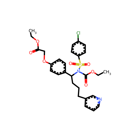 CCOC(=O)COc1ccc(C(CCCc2cccnc2)N(C(=O)OCC)S(=O)(=O)c2ccc(Cl)cc2)cc1